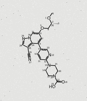 CO[C@H](C)COc1cc(-c2ccc(N3CCN(C(=O)O)CC3)nc2)c2c(C#N)cnn2c1